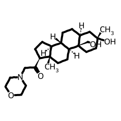 C[C@@]1(O)CC[C@@]2(CO)[C@@H](CC[C@H]3[C@@H]4CC[C@H](C(=O)CN5CCOCC5)[C@@]4(C)CC[C@@H]32)C1